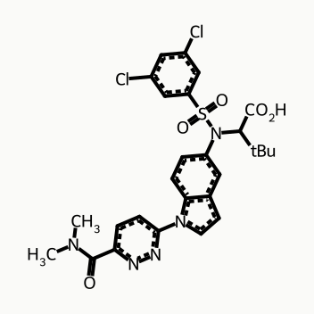 CN(C)C(=O)c1ccc(-n2ccc3cc(N(C(C(=O)O)C(C)(C)C)S(=O)(=O)c4cc(Cl)cc(Cl)c4)ccc32)nn1